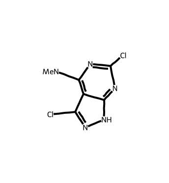 CNc1nc(Cl)nc2[nH]nc(Cl)c12